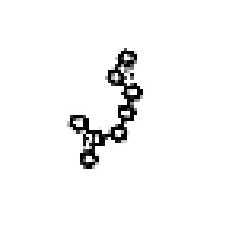 C1=CCCC(c2cc(-c3cccc(-c4ccc(-c5cccc(-c6cccc7c6sc6ccccc67)c5)cc4)c3)cc(-c3ccccc3)n2)=C1